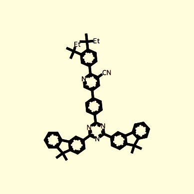 CCC(C)(C)c1ccc(-c2ncc(-c3ccc(-c4nc(-c5ccc6c(c5)-c5ccccc5C6(C)C)nc(-c5ccc6c(c5)-c5ccccc5C6(C)C)n4)cc3)cc2C#N)cc1C(C)(C)CC